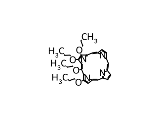 CCCOC1=CC2=CC3=NC(=CC4=NC(=CC5=NC(=C(OCCC)C1=N2)C(OCCC)=C5OCCC)C=C4)C=C3